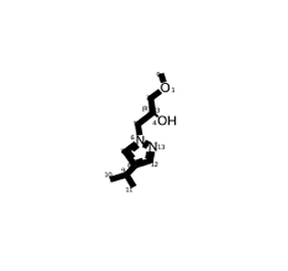 COC[C@H](O)Cn1cc(C(C)C)cn1